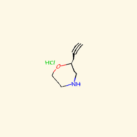 C#C[C@H]1CNCCO1.Cl